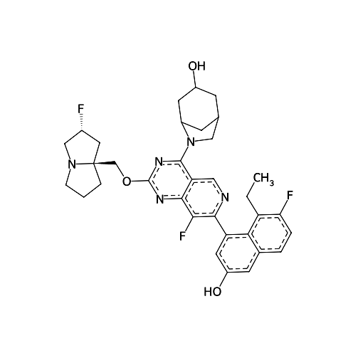 CCc1c(F)ccc2cc(O)cc(-c3ncc4c(N5CC6CC(O)CC5C6)nc(OC[C@@]56CCCN5C[C@H](F)C6)nc4c3F)c12